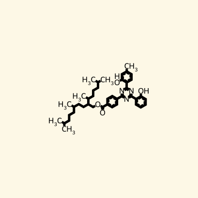 Cc1ccc(-c2nc(-c3ccc(C(=O)OCC(CCC(C)CCCC(C)C)C(C)CCCC(C)C)cc3)nc(-c3ccccc3O)n2)c(O)c1